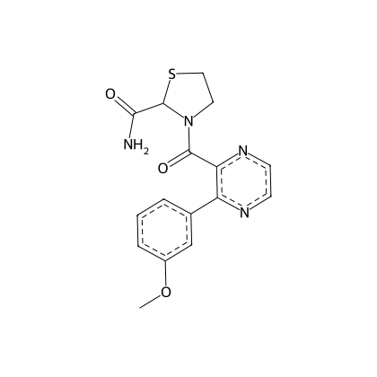 COc1cccc(-c2nccnc2C(=O)N2CCSC2C(N)=O)c1